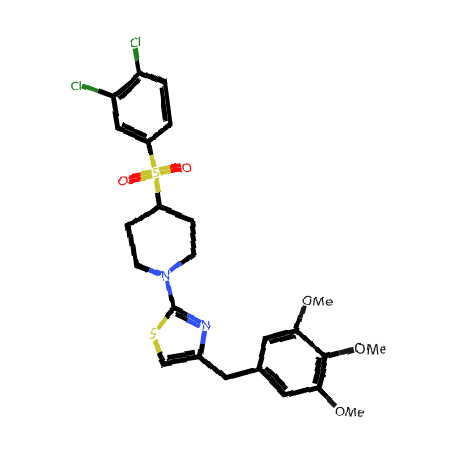 COc1cc(Cc2csc(N3CCC(S(=O)(=O)c4ccc(Cl)c(Cl)c4)CC3)n2)cc(OC)c1OC